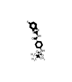 CC(C)(C)S(=O)(=O)N[C@H]1CC[C@H](C(=O)Nc2nc3ccc(F)cc3s2)CC1